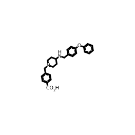 O=C(O)c1ccc(CN2CCC(NCc3ccc(Oc4ccccc4)cc3)CC2)cc1